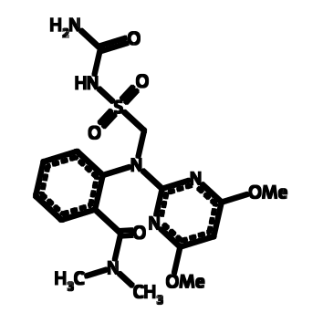 COc1cc(OC)nc(N(CS(=O)(=O)NC(N)=O)c2ccccc2C(=O)N(C)C)n1